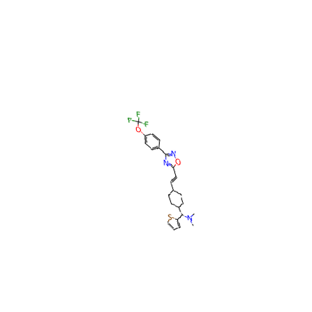 CN(C)C(c1cccs1)C1CCC(C=Cc2nc(-c3ccc(OC(F)(F)F)cc3)no2)CC1